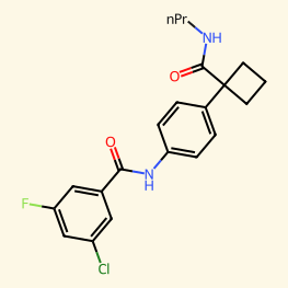 CCCNC(=O)C1(c2ccc(NC(=O)c3cc(F)cc(Cl)c3)cc2)CCC1